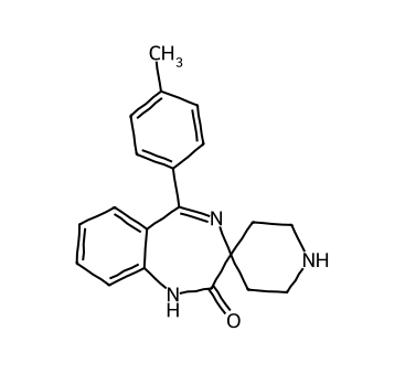 Cc1ccc(C2=NC3(CCNCC3)C(=O)Nc3ccccc32)cc1